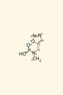 CN(Cc1cnno1)C(=O)O